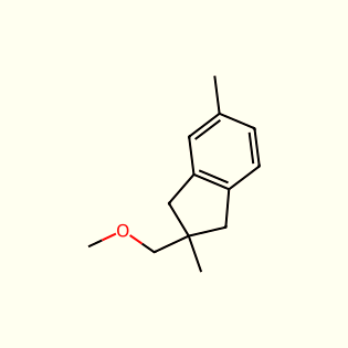 COCC1(C)Cc2ccc(C)cc2C1